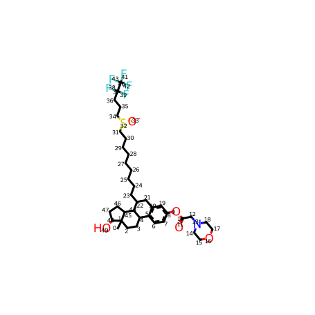 CC12CCC3c4ccc(OC(=O)CN5CCOCC5)cc4CC(CCCCCCCCC[S+]([O-])CCCC(F)(F)C(F)(F)F)C3C1CCC2O